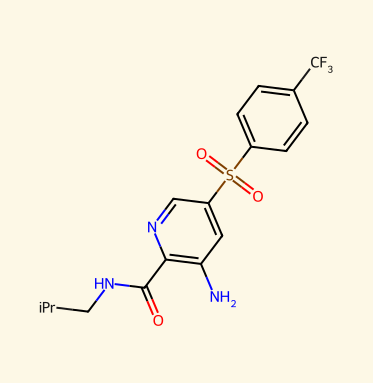 CC(C)CNC(=O)c1ncc(S(=O)(=O)c2ccc(C(F)(F)F)cc2)cc1N